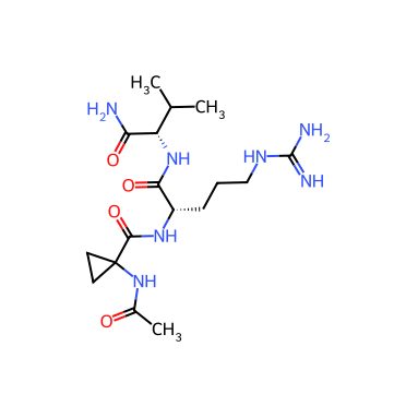 CC(=O)NC1(C(=O)N[C@@H](CCCNC(=N)N)C(=O)N[C@H](C(N)=O)C(C)C)CC1